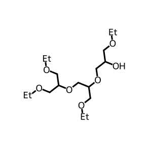 CCOCC(O)COC(COCC)COC(COCC)COCC